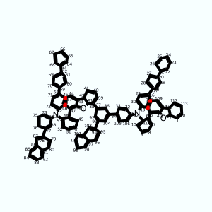 C1=CC2Oc3c(-c4ccccc4N(c4ccc(-c5ccc(-c6ccccc6)cc5)cc4)c4ccc(-c5cc(C6=CC=CC7c8cccc(-c9ccccc9N(c9ccc(-c%10ccc(-c%11ccccc%11)cc%10)cc9)c9cccc(-c%10ccc%11ccccc%11c%10)c9)c8OC67)cc(-c6ccc7ccccc7c6)c5)cc4)cccc3C2C=C1